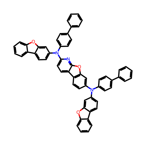 c1ccc(-c2ccc(N(c3ccc4c(c3)oc3ccccc34)c3ccc4c(c3)oc3nc(N(c5ccc(-c6ccccc6)cc5)c5ccc6c(c5)oc5ccccc56)ccc34)cc2)cc1